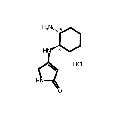 Cl.N[C@@H]1CCCC[C@H]1NC1=CC(=O)NC1